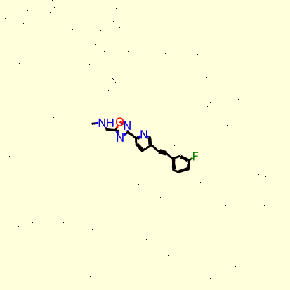 CNCc1nc(-c2ccc(C#Cc3cccc(F)c3)cn2)no1